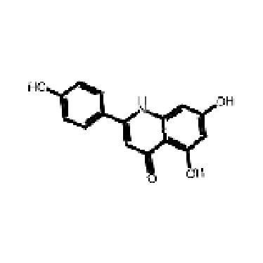 O=c1cc(-c2[c]cc(O)cc2)[nH]c2cc(O)cc(O)c12